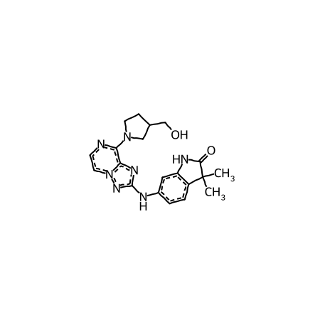 CC1(C)C(=O)Nc2cc(Nc3nc4c(N5CCC(CO)C5)nccn4n3)ccc21